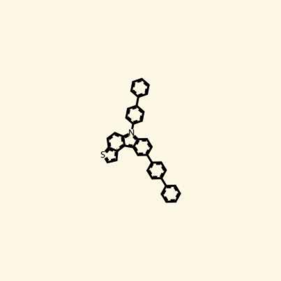 c1ccc(-c2ccc(-c3ccc4c(c3)c3c5ccsc5ccc3n4-c3ccc(-c4ccccc4)cc3)cc2)cc1